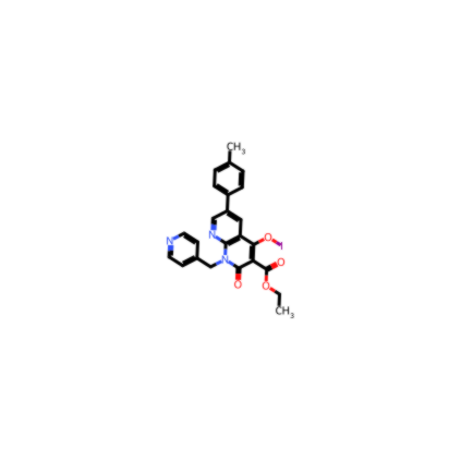 CCOC(=O)c1c(OI)c2cc(-c3ccc(C)cc3)cnc2n(Cc2ccncc2)c1=O